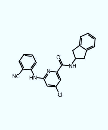 N#Cc1ccccc1Nc1cc(Cl)cc(C(=O)NC2Cc3ccccc3C2)n1